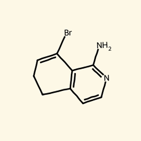 Nc1nccc2c1C(Br)=CCC2